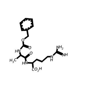 CC(NC(=O)OCc1ccccc1)C(=O)NC(CCCNC(=N)N)C(=O)O